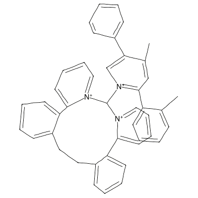 Cc1cc(-c2ccccc2C)[n+](C2[n+]3ccccc3-c3ccccc3CCc3ccccc3-c3cccc[n+]32)cc1-c1ccccc1